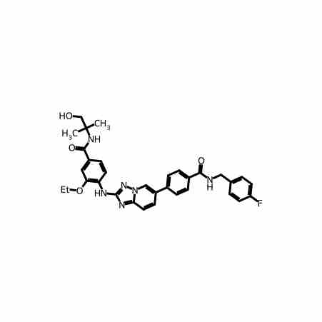 CCOc1cc(C(=O)NC(C)(C)CO)ccc1Nc1nc2ccc(-c3ccc(C(=O)NCc4ccc(F)cc4)cc3)cn2n1